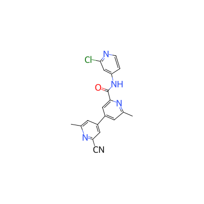 Cc1cc(-c2cc(C)nc(C(=O)Nc3ccnc(Cl)c3)c2)cc(C#N)n1